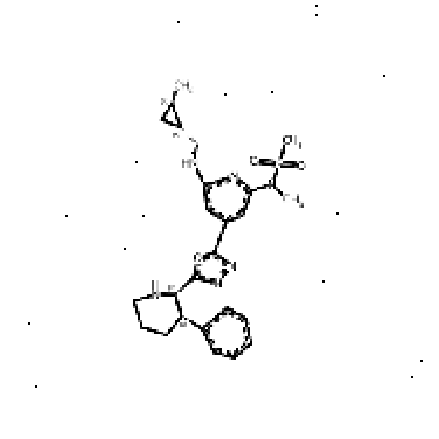 C[C@@H]1C[C@H]1CNc1cc(-c2nnc([C@@H]3NCCC[C@@H]3c3ccccc3)o2)cc(N(C)S(C)(=O)=O)n1